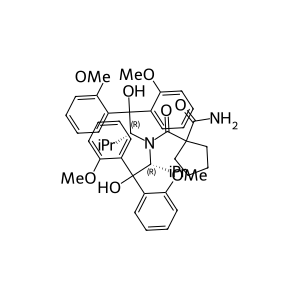 COc1ccccc1C(O)(c1ccccc1OC)[C@@H](C(C)C)N(C(=O)C1(C(N)=O)CCCC1)[C@H](C(C)C)C(O)(c1ccccc1OC)c1ccccc1OC